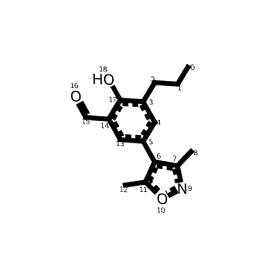 CCCc1cc(-c2c(C)noc2C)cc(C=O)c1O